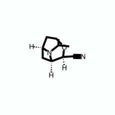 CC(C)N1[C@@H]2CCO[C@@H](C#N)[C@H]1C2